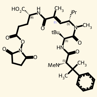 CN[C@H](C(=O)N[C@H](C(=O)N(C)[C@H](/C=C(\C)C(=O)N[C@H](CCC(=O)ON1C(=O)CCC1=O)C(=O)O)C(C)C)C(C)(C)C)C(C)(C)c1ccccc1